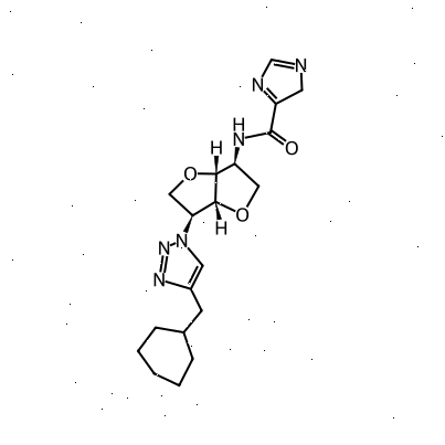 O=C(N[C@H]1CO[C@H]2[C@@H]1OC[C@@H]2n1cc(CC2CCCCC2)nn1)C1=NC=NC1